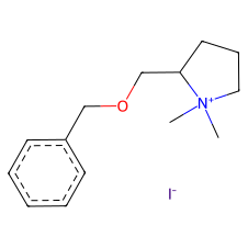 C[N+]1(C)CCCC1COCc1ccccc1.[I-]